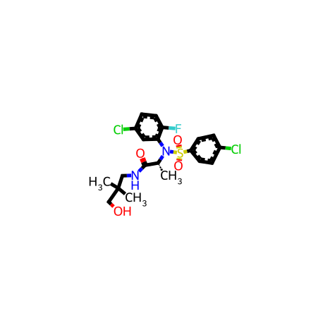 C[C@H](C(=O)NCC(C)(C)CO)N(c1cc(Cl)ccc1F)S(=O)(=O)c1ccc(Cl)cc1